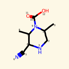 CC1CNC(C#N)C(C)N1C(=O)O